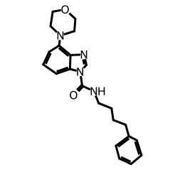 O=C(NCCCCc1ccccc1)n1cnc2c(N3CCOCC3)cccc21